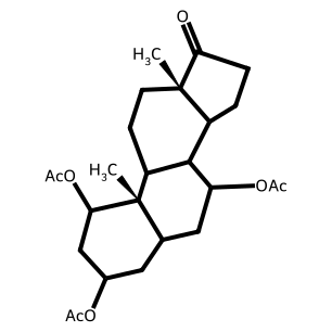 CC(=O)OC1CC2CC(OC(C)=O)C3C(CC[C@]4(C)C(=O)CCC34)[C@@]2(C)C(OC(C)=O)C1